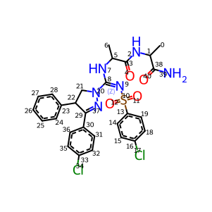 CC(NC(=O)C(C)N/C(=N/S(=O)(=O)c1ccc(Cl)cc1)N1CC(c2ccccc2)C(c2ccc(Cl)cc2)=N1)C(N)=O